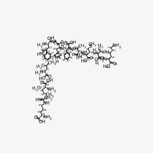 CC(C)C[C@H](N)C(=O)O.CC(C)[C@H](N)C(=O)O.CC[C@H](C)[C@H](N)C(=O)O.CSCC[C@H](N)C(=O)O.C[C@@H](O)[C@H](N)C(=O)O.N=C(N)NCCC[C@H](N)C(=O)O.NCCCC[C@H](N)C(=O)O.N[C@@H](Cc1c[nH]c2ccccc12)C(=O)O.N[C@@H](Cc1c[nH]cn1)C(=O)O.N[C@@H](Cc1ccccc1)C(=O)O